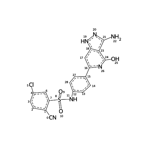 N#Cc1ccc(Cl)cc1S(=O)(=O)Nc1ccc(-c2cc3[nH]nc(N)c3c(O)n2)cc1